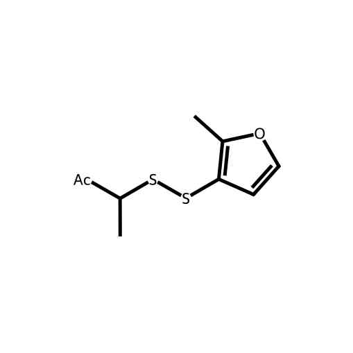 CC(=O)C(C)SSc1ccoc1C